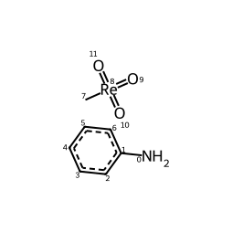 Nc1ccccc1.[CH3][Re](=[O])(=[O])=[O]